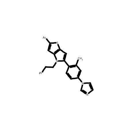 CC(=O)c1cc2c(cc(-c3ccc(-n4ccnc4)cc3C)n2CCC(C)C)s1